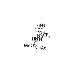 COc1cc(Nc2ncc(C(F)(F)F)c(N[C@@H]3CCCC[C@H]3N(C)S(C)(=O)=O)n2)ccc1NC(C)=O